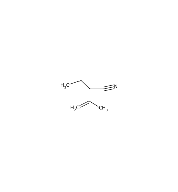 C=CC.CCCC#N